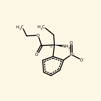 CCOC(=O)[C@](N)(CC)c1ccccc1[N+](=O)[O-]